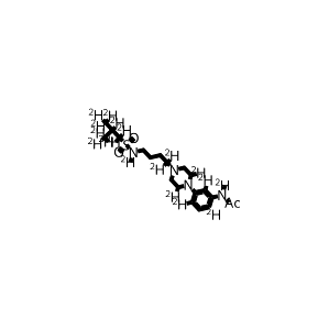 [2H]c1cc([2H])c(N2C([2H])CN(C([2H])([2H])CCCN([2H])S(=O)(=O)C([2H])([2H])C([2H])(C([2H])([2H])[2H])C([2H])([2H])[2H])CC2[2H])c([2H])c1N([2H])C(C)=O